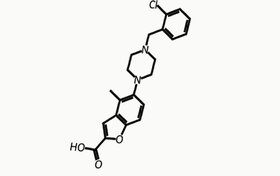 Cc1c(N2CCN(Cc3ccccc3Cl)CC2)ccc2oc(C(=O)O)cc12